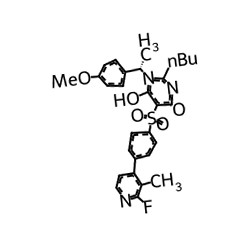 CCCCc1nc(=O)c(S(=O)(=O)c2ccc(-c3ccnc(F)c3C)cc2)c(O)n1[C@@H](C)c1ccc(OC)cc1